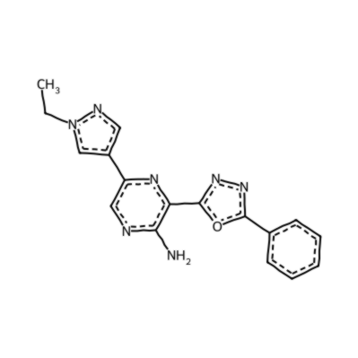 CCn1cc(-c2cnc(N)c(-c3nnc(-c4ccccc4)o3)n2)cn1